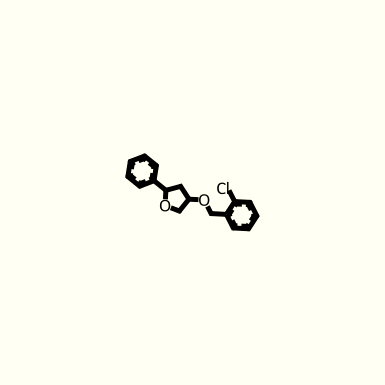 Clc1ccccc1COC1COC(c2ccccc2)C1